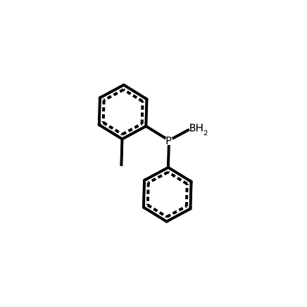 BP(c1ccccc1)c1ccccc1C